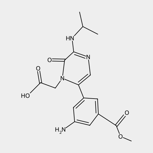 COC(=O)c1cc(N)cc(-c2cnc(NC(C)C)c(=O)n2CC(=O)O)c1